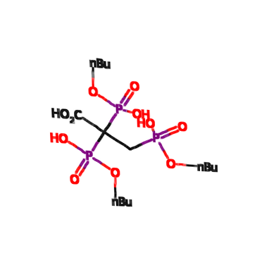 CCCCOP(=O)(O)CC(C(=O)O)(P(=O)(O)OCCCC)P(=O)(O)OCCCC